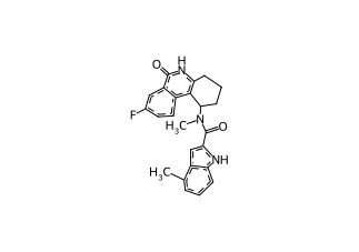 Cc1cccc2[nH]c(C(=O)N(C)C3CCCc4[nH]c(=O)c5cc(F)ccc5c43)cc12